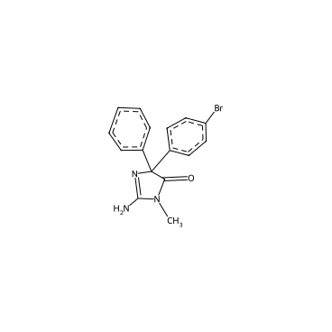 CN1C(=O)C(c2ccccc2)(c2ccc(Br)cc2)N=C1N